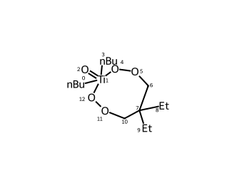 CCC[CH2][Ti]1(=[O])([CH2]CCC)[O]OCC(CC)(CC)CO[O]1